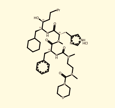 CC(C)CC[C@H](O)[C@H](CC1CCCCC1)NC(=O)[C@H](Cc1c[nH]cn1)N(C)C(=O)[C@H](Cc1ccccc1)NC(=O)N(C)CCN(C)C(=O)N1CCSCC1.Cl